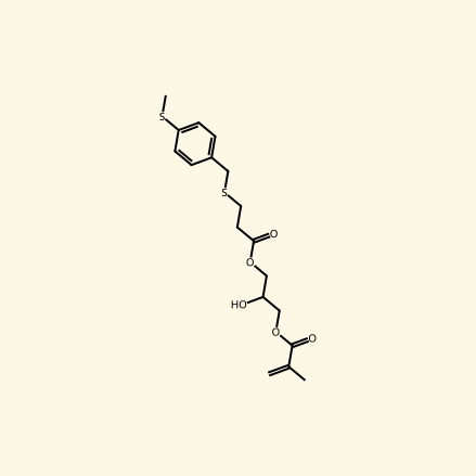 C=C(C)C(=O)OCC(O)COC(=O)CCSCc1ccc(SC)cc1